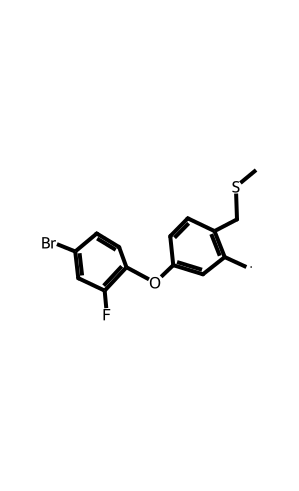 [CH2]c1cc(Oc2ccc(Br)cc2F)ccc1CSC